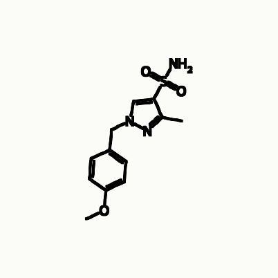 COc1ccc(Cn2cc(S(N)(=O)=O)c(C)n2)cc1